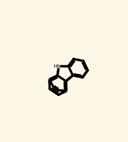 c1ccc2c(c1)[nH]c1c3ccc(cc3)c21